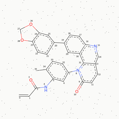 C=CC(=O)Nc1cc(-n2c(=O)ccc3cnc4ccc(-c5ccc6c(c5)OCO6)cc4c32)ccc1C